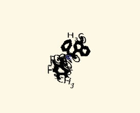 COc1ccc(C(=O)/C(=N/OS(=O)(=O)c2c(F)c(F)c(SC)c(F)c2F)c2ccccc2)c2ccccc12